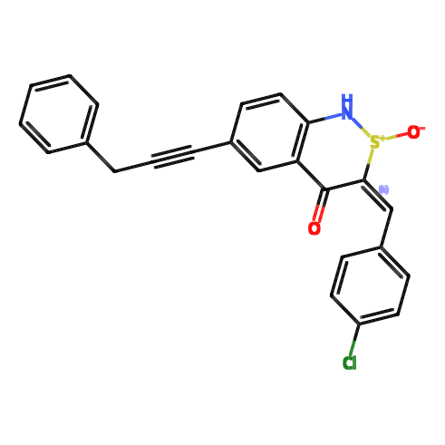 O=C1/C(=C\c2ccc(Cl)cc2)[S+]([O-])Nc2ccc(C#CCc3ccccc3)cc21